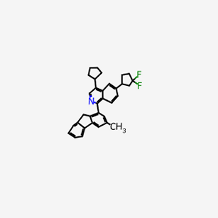 Cc1cc2c(c(-c3ncc(C4CCCC4)c4cc(C5CCC(F)(F)C5)ccc34)c1)Cc1ccccc1-2